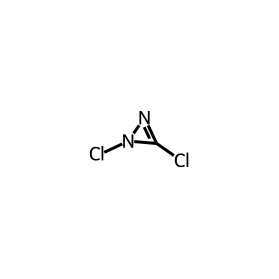 ClC1=NN1Cl